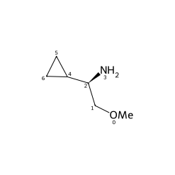 COC[C@H](N)C1CC1